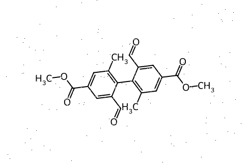 COC(=O)c1cc(C)c(-c2c(C)cc(C(=O)OC)cc2C=O)c(C=O)c1